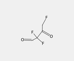 O=[C]C(F)(F)C(=O)CF